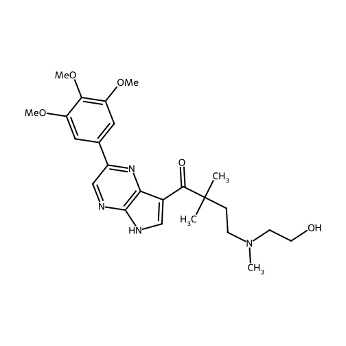 COc1cc(-c2cnc3[nH]cc(C(=O)C(C)(C)CCN(C)CCO)c3n2)cc(OC)c1OC